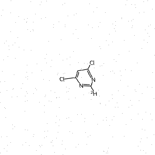 [2H]c1nc(Cl)cc(Cl)n1